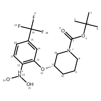 CC(C)(C)OC(=O)N1CCC[C@H](Oc2cc(C(F)(F)F)ccc2[NH+]([O-])O)C1